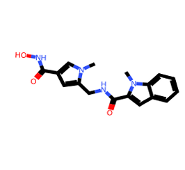 Cn1cc(C(=O)NO)cc1CNC(=O)c1cc2ccccc2n1C